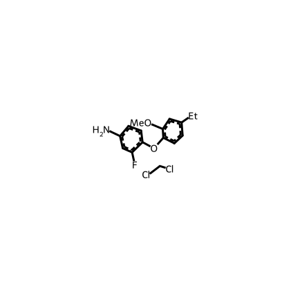 CCc1ccc(Oc2ccc(N)cc2F)c(OC)c1.ClCCl